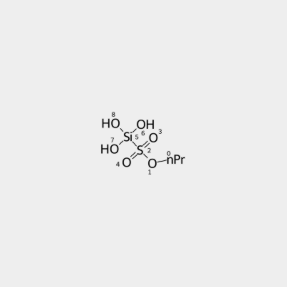 CCCOS(=O)(=O)[Si](O)(O)O